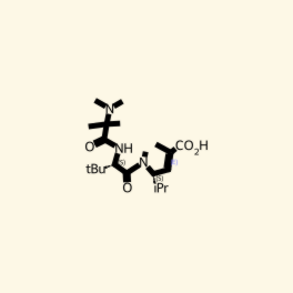 C/C(=C\[C@H](C(C)C)N(C)C(=O)[C@@H](NC(=O)C(C)(C)N(C)C)C(C)(C)C)C(=O)O